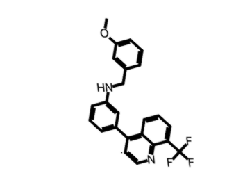 COc1cccc(CNc2cccc(-c3[c]cnc4c(C(F)(F)F)cccc34)c2)c1